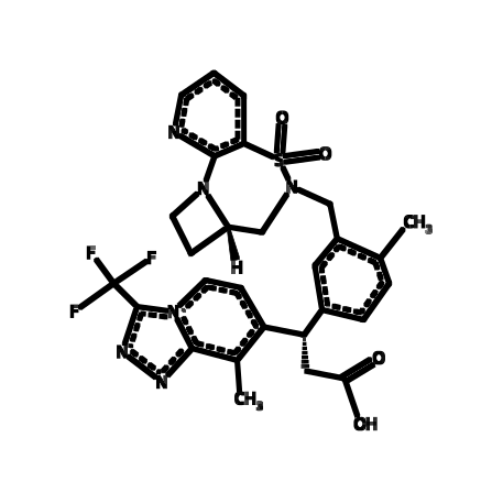 Cc1ccc([C@H](CC(=O)O)c2ccn3c(C(F)(F)F)nnc3c2C)cc1CN1C[C@@H]2CCN2c2ncccc2S1(=O)=O